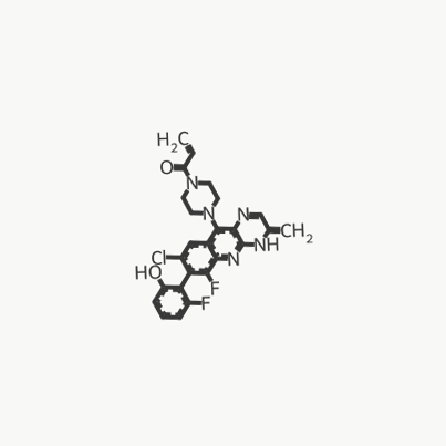 C=CC(=O)N1CCN(c2c3c(nc4c(F)c(-c5c(O)cccc5F)c(Cl)cc24)NC(=C)C=N3)CC1